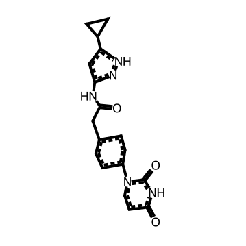 O=C(Cc1ccc(-n2ccc(=O)[nH]c2=O)cc1)Nc1cc(C2CC2)[nH]n1